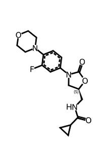 O=C(NC[C@H]1CN(c2ccc(N3CCOCC3)c(F)c2)C(=O)O1)C1CC1